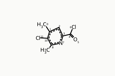 Cc1cc(C(=O)Cl)nc(C)c1Cl